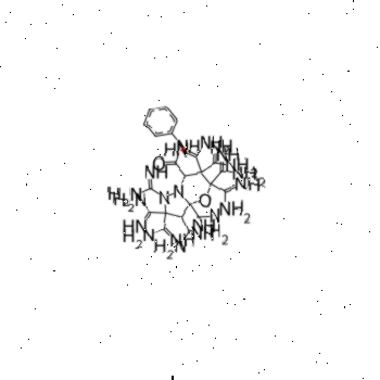 N=C(N)C1C2(C(=N)N)OC(C(=N)N)(C(=N)N)C(C(=N)N)(C(=N)N)C(C(=O)Nc3ccccc3)N2N(C(=N)N)C1(C(=N)N)C(=N)N